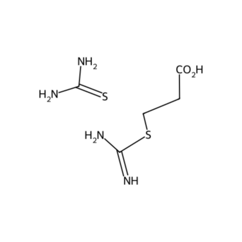 N=C(N)SCCC(=O)O.NC(N)=S